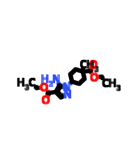 CCOC(=O)c1cnn(C2CCC(C)(C(=O)OCC)CC2)c1N